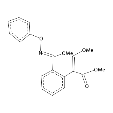 COC=C(C(=O)OC)c1ccccc1C(=NOc1ccccc1)OC